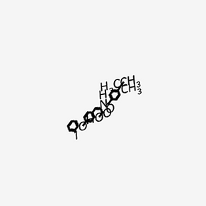 CC(C)(C)c1ccc(C(=O)NC(=Cc2ccc(Oc3ccccc3I)cc2)C(=O)O)cc1